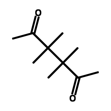 CC(=O)C(C)(C)C(C)(C)C(C)=O